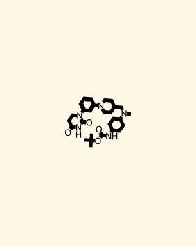 CN(CC1CCN(c2cccc(N3CCC(=O)NC3=O)c2)CC1)C1CCC(NC(=O)OC(C)(C)C)CC1